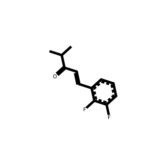 CC(C)C(=O)C=Cc1cccc(F)c1F